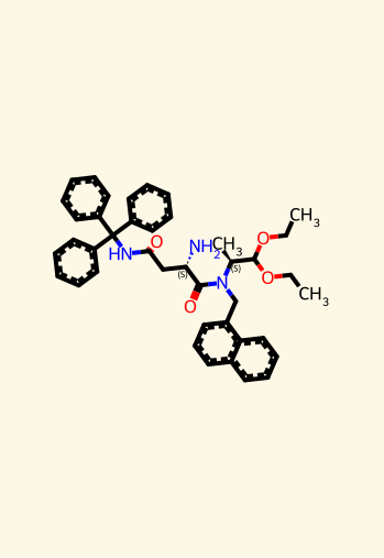 CCOC(OCC)[C@H](C)N(Cc1cccc2ccccc12)C(=O)[C@@H](N)CC(=O)NC(c1ccccc1)(c1ccccc1)c1ccccc1